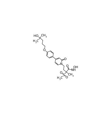 CC(C)(O)CCCOc1ccc(-c2ccn(CCC(C)(C(=O)NO)S(C)(=O)=O)c(=O)c2)cc1